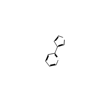 [c]1cccc(-c2ccoc2)n1